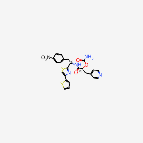 NC(=O)O[C@@H](Cc1ccncc1)C(=O)N[C@@H](Cc1ccc([N+](=O)[O-])cc1)c1nc(-c2cccs2)cs1